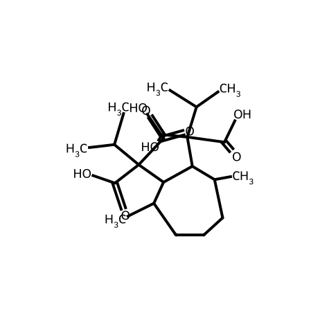 CC1CCCC(C)C(C(C(=O)O)(C(=O)O)C(C)C)C1C(C(=O)O)(C(=O)O)C(C)C